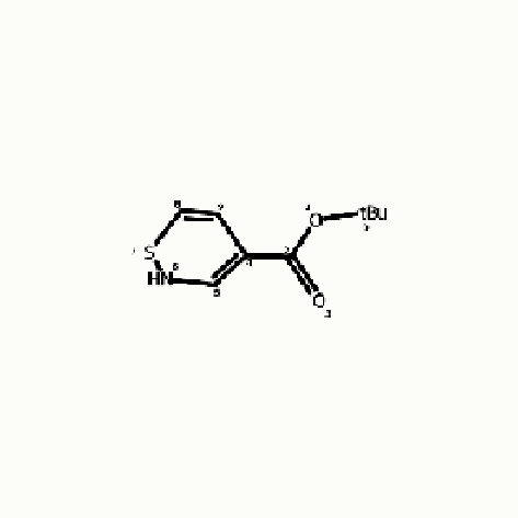 CC(C)(C)OC(=O)C1=CNSC=C1